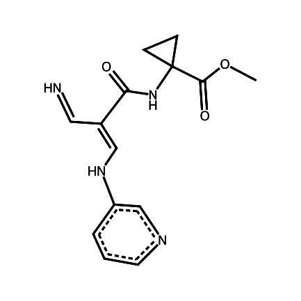 COC(=O)C1(NC(=O)/C(C=N)=C/Nc2cccnc2)CC1